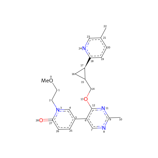 COCCn1cc(-c2cnc(C)nc2OCC2C[C@H]2c2ccc(C)cn2)ccc1=O